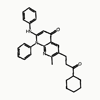 Cc1nc2c(cc1CCC(=O)C1CCCCC1)c(=O)cc(Nc1ccccc1)n2-c1ccccc1